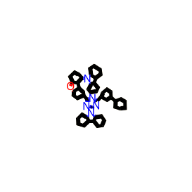 c1ccc(-c2cccc(-c3nc(-c4ccc5oc6cccc(-n7c8ccccc8c8ccccc87)c6c5c4)nc(-n4c5ccccc5c5ccccc54)n3)c2)cc1